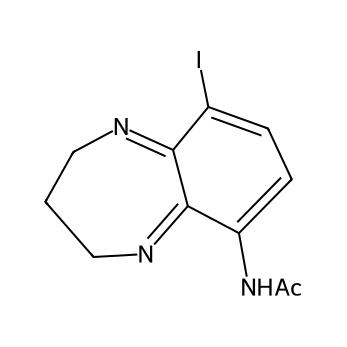 CC(=O)Nc1ccc(I)c2c1=NCCCN=2